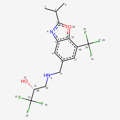 CC(C)c1nc2cc(CNC[C@@H](O)C(F)(F)F)cc(C(F)(F)F)c2o1